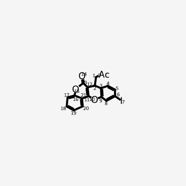 CC(=O)CC1c2ccc(I)cc2Oc2c1c(=O)oc1ccccc21